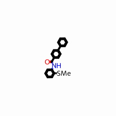 CSc1ccccc1NC(=O)c1ccc(-c2ccccc2)cc1